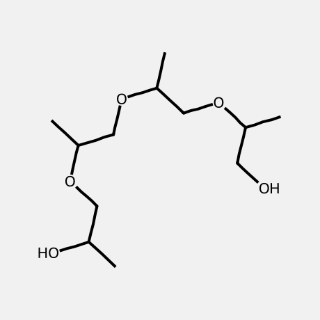 CC(O)COC(C)COC(C)COC(C)CO